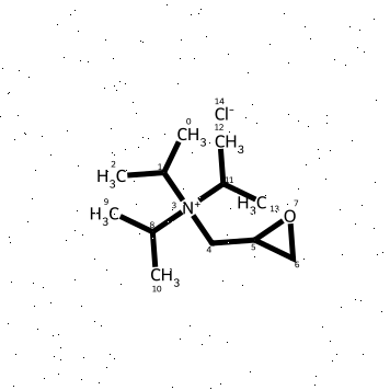 CC(C)[N+](CC1CO1)(C(C)C)C(C)C.[Cl-]